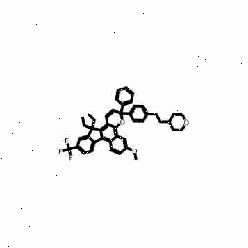 CCC1(CC)c2cc(C(F)(F)F)ccc2-c2c1c1c(c3cc(OC)ccc23)OC(c2ccccc2)(c2ccc(CCC3CCOCC3)cc2)C=C1